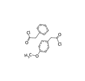 COc1ccc(CC(=O)Cl)cc1.O=C(Cl)Cc1ccccc1